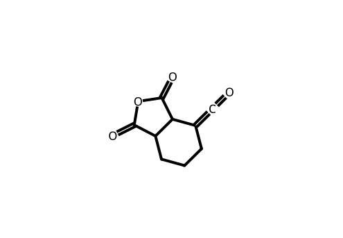 O=C=C1CCCC2C(=O)OC(=O)C12